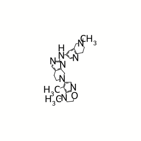 Cc1c(N2CCc3cnc(Nc4cnc5c(c4)CN(C)CC5)nc3C2)cnc2c1N(C)CCO2